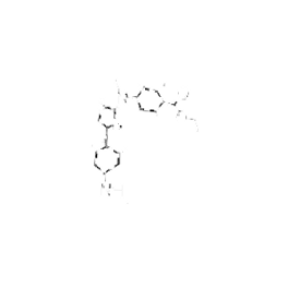 CCOC(=O)c1ccc(N(C)c2nc(-c3ccc(N)cc3)cs2)cc1